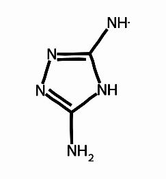 [NH]c1nnc(N)[nH]1